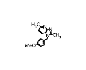 COc1ccc(Cn2c(C)nc3nc(C)ccc32)cc1